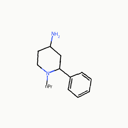 CCCN1CCC(N)CC1c1ccccc1